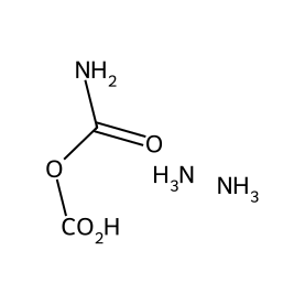 N.N.NC(=O)OC(=O)O